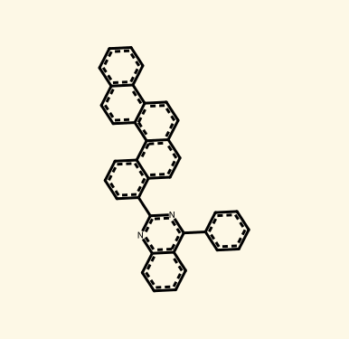 c1ccc(-c2nc(-c3cccc4c3ccc3ccc5c6ccccc6ccc5c34)nc3ccccc23)cc1